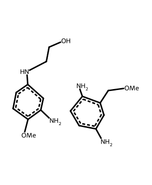 COCc1cc(N)ccc1N.COc1ccc(NCCO)cc1N